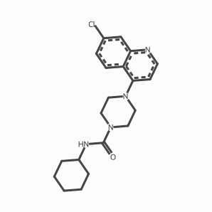 O=C(NC1CCCCC1)N1CCN(c2ccnc3cc(Cl)ccc23)CC1